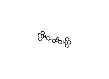 c1cc2ccc3cccc4c3c2c(c1)n4-c1ccc(-c2ccc3c(c2)oc2cc(-n4c5cccc6ccc7cccc4c7c65)ccc23)cc1